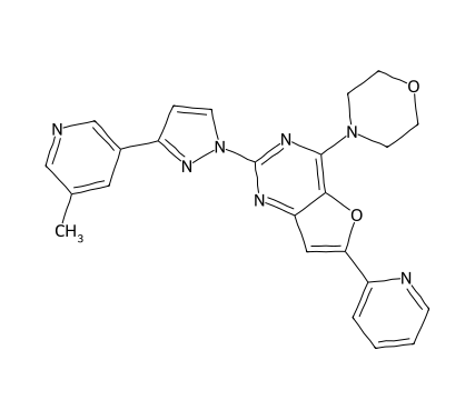 Cc1cncc(-c2ccn(-c3nc(N4CCOCC4)c4oc(-c5ccccn5)cc4n3)n2)c1